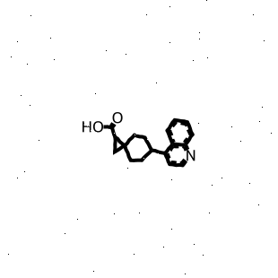 O=C(O)C1CC12CCC(c1ccnc3ccccc13)CC2